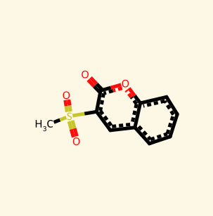 CS(=O)(=O)c1cc2ccccc2oc1=O